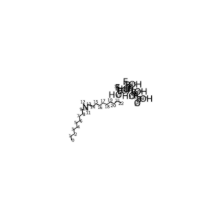 CCCCCCCCCC[N+](C)(C)CCCCCCCCCC.OB(O)F.OB(O)F.OB(O)F.[O-]B(O)F